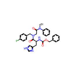 CCCN(C(=O)CN(Cc1ccc(F)cc1)C(=O)C(Cc1c[nH]cn1)NC(=O)OCc1ccccc1)c1ccccc1